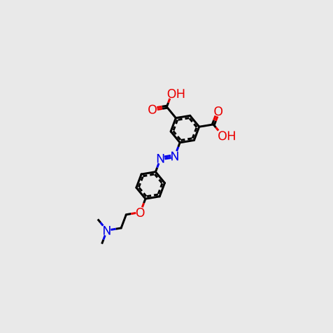 CN(C)CCOc1ccc(N=Nc2cc(C(=O)O)cc(C(=O)O)c2)cc1